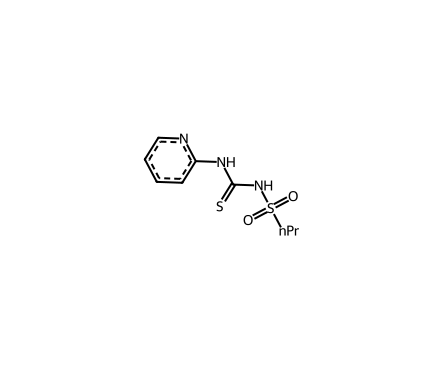 CCCS(=O)(=O)NC(=S)Nc1ccccn1